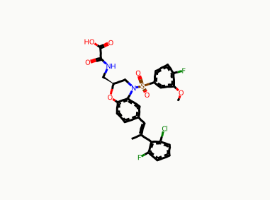 COc1cc(S(=O)(=O)N2C[C@H](CNC(=O)C(=O)O)Oc3ccc(/C=C(\C)c4c(F)cccc4Cl)cc32)ccc1F